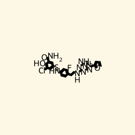 NC(=O)c1cc(SNc2ccc(CCNc3nc(N)n4nc(-c5ccco5)nc4n3)c(F)c2)cc(Cl)c1O